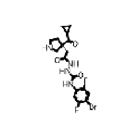 O=C(C[C@@]1(C(=O)C2CC2)CCNC1)NNC(=O)Nc1cc(F)c(Br)cc1F